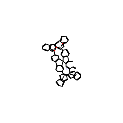 C=C/C(=C\C1=C(C)c2ccc(N(c3ccccc3)c3ccccc3)cc2C12c1cc(N(c3ccccc3)c3ccccc3)ccc1-c1ccc(N(c3ccccc3)c3ccccc3)cc12)N(c1ccccc1)c1ccccc1